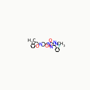 CC(CC(=O)N1CCC(O)(Cn2cnc3c(-c4ccccc4F)n(C)nc3c2=O)CC1)c1ccccc1